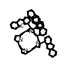 C1=CC2=NC1=CC1=NC(=C(c3cccc4cc5ccccc5cc34)C3=NC(=CC4=NC(=C2)C=C4)C=C3c2cccc3cc4ccccc4cc23)C(c2cccc3cc4ccccc4cc23)=C1c1cccc2cc3ccccc3cc12